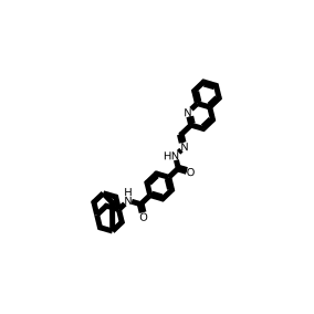 O=C(N/N=C/c1ccc2ccccc2n1)c1ccc(C(=O)NC23CC4CC(CC(C4)C2)C3)cc1